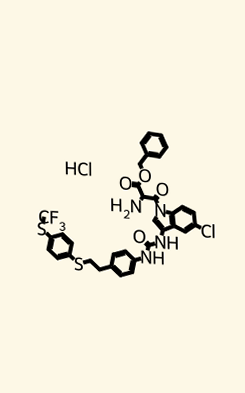 Cl.NC(C(=O)OCc1ccccc1)C(=O)n1cc(NC(=O)Nc2ccc(CCSc3ccc(SC(F)(F)F)cc3)cc2)c2cc(Cl)ccc21